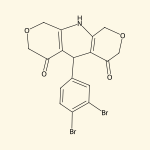 O=C1COCC2=C1C(c1ccc(Br)c(Br)c1)C1=C(COCC1=O)N2